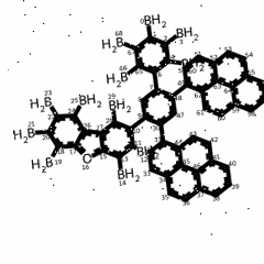 Bc1c(B)c(B)c(-c2cc(-c3c(B)c(B)c4oc5c(B)c(B)c(B)c(B)c5c4c3B)c(-c3ccc4ccc5cccc6ccc3c4c56)cc2-c2ccc3ccc4cccc5ccc2c3c45)c(B)c1B